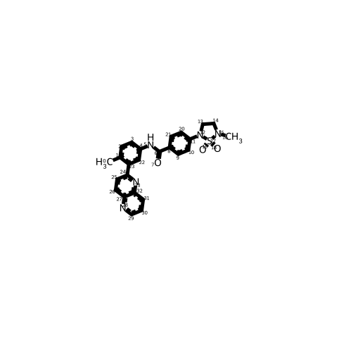 Cc1ccc(NC(=O)c2ccc(N3CCN(C)S3(=O)=O)cc2)cc1-c1ccc2ncccc2n1